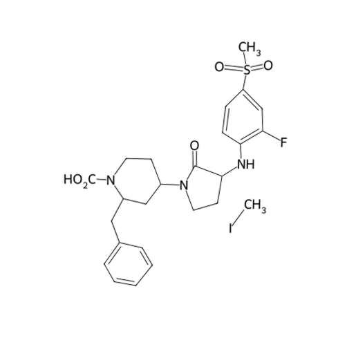 CI.CS(=O)(=O)c1ccc(NC2CCN(C3CCN(C(=O)O)C(Cc4ccccc4)C3)C2=O)c(F)c1